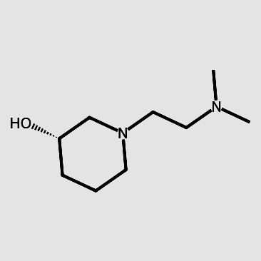 CN(C)CCN1CCC[C@H](O)C1